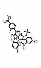 COC(=O)c1ccc(N2CN3[C@@H](CC(C)(C)C)[C@@]4(C(=O)Nc5cc(Cl)ccc54)[C@@H](c4cc(F)ccc4F)[C@@H]3C2=O)c(F)c1